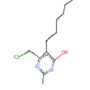 CCCCCCc1c(O)nc(C)nc1CCl